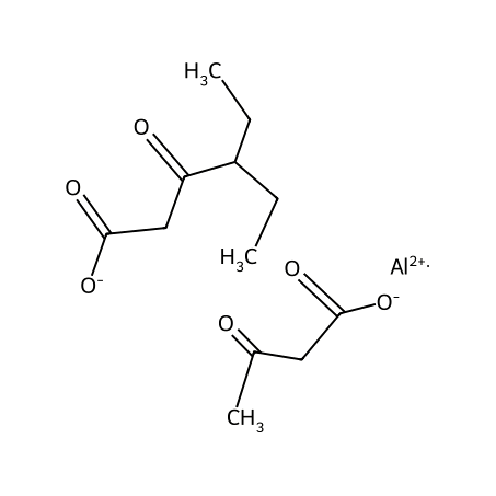 CC(=O)CC(=O)[O-].CCC(CC)C(=O)CC(=O)[O-].[Al+2]